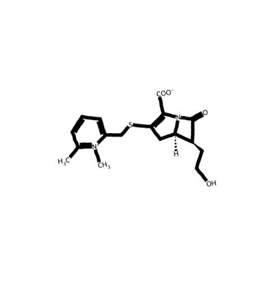 Cc1cccc(CSC2=C(C(=O)[O-])N3C(=O)[C@@H](CCO)[C@H]3C2)[n+]1C